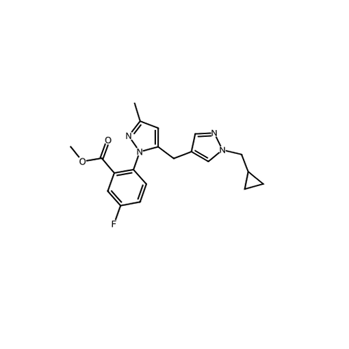 COC(=O)c1cc(F)ccc1-n1nc(C)cc1Cc1cnn(CC2CC2)c1